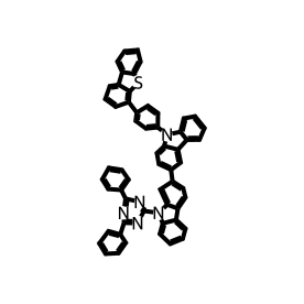 c1ccc(-c2nc(-c3ccccc3)nc(-n3c4ccccc4c4ccc(-c5ccc6c(c5)c5ccccc5n6-c5ccc(-c6cccc7c6sc6ccccc67)cc5)cc43)n2)cc1